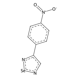 O=[N+]([O-])c1ccc(-c2cn[se]n2)cc1